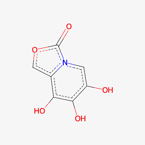 O=c1occ2c(O)c(O)c(O)cn12